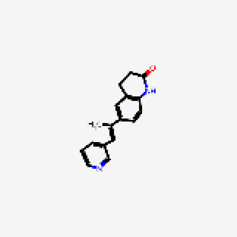 CC(=Cc1cccnc1)c1ccc2c(c1)CCC(=O)N2